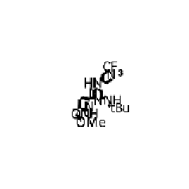 COC(=O)Nc1cccc(-c2nc(NCC(C)(C)C)cc(Nc3ccnc(C(F)(F)F)c3)n2)n1